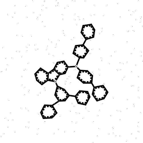 c1ccc(-c2ccc(N(c3ccc(-c4ccccc4)cc3)c3ccc4c5ccccc5n(-c5cc(-c6ccccc6)cc(-c6ccccc6)c5)c4c3)cc2)cc1